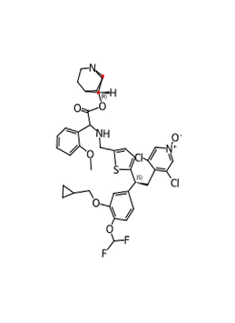 COc1ccccc1C(NCc1ccc([C@@H](Cc2c(Cl)c[n+]([O-])cc2Cl)c2ccc(OC(F)F)c(OCC3CC3)c2)s1)C(=O)O[C@H]1CN2CCC1CC2